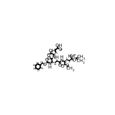 COC(=O)[C@H](CCC(=O)OC(C)(C)C)NC(=O)CC[C@H](NC(=O)OCc1ccccc1)C(=O)N[C@@H](CCC(=O)O)C(=O)O